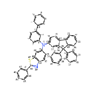 c1ccc(-c2cccc(N(c3ccc4c(c3)C(c3ccccc3)(c3ccccc3)c3ccccc3-4)c3ccc4nc(-c5ccccc5)sc4c3)c2)cc1